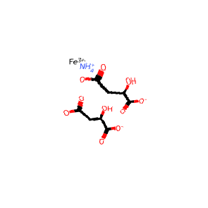 O=C([O-])CC(O)C(=O)[O-].O=C([O-])CC(O)C(=O)[O-].[Fe+3].[NH4+]